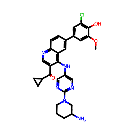 COc1cc(-c2ccc3ncc(C(=O)C4CC4)c(Nc4cnc(N5CCCC(N)C5)nc4)c3c2)cc(Cl)c1O